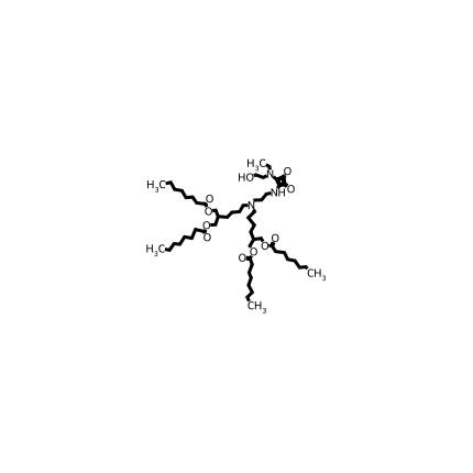 CCCCCCCC(=O)OCC(CCCCN(CCCCC(COC(=O)CCCCCCC)COC(=O)CCCCCCC)CCCNc1c(N(CC)CCO)c(=O)c1=O)COC(=O)CCCCCCC